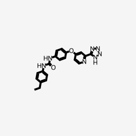 CCc1ccc(NC(=O)Nc2ccc(Oc3ccnc(-c4nnn[nH]4)c3)cc2)cc1